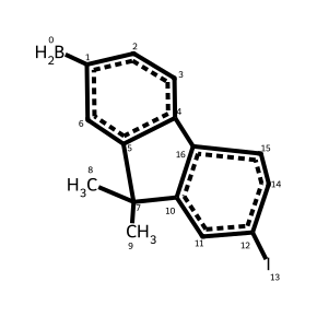 Bc1ccc2c(c1)C(C)(C)c1cc(I)ccc1-2